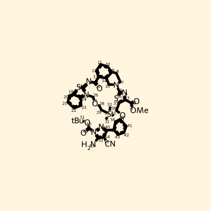 COC(=O)c1nc(N2CCc3cccc(C(=O)N=c4sc5ccccc5n4COCC[Si](C)(C)C)c3C2)sc1COc1cccc(-c2nn(C(=O)OC(C)(C)C)c(N)c2C#N)c1